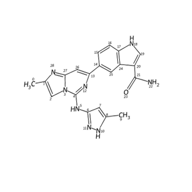 Cc1cn2c(Nc3cc(C)[nH]n3)nc(-c3c[c]c4[nH]cc(C(N)=O)c4c3)cc2n1